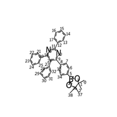 CC1(C)OB(c2ccc(-c3nc(-c4ccccc4)nc(-c4ccccc4)c3-c3ccccc3)cc2)OC1(C)C